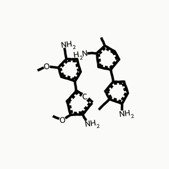 COc1cc(-c2ccc(N)c(OC)c2)ccc1N.Cc1cc(-c2ccc(C)c(N)c2)ccc1N